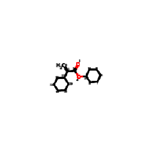 C=C(C(=O)OC1CCCCC1)C1CCCCC1